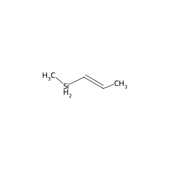 C/C=C/[SiH2]C